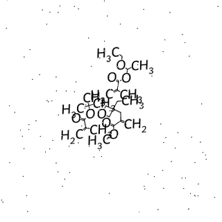 C=C(C)C(=O)OC(C)(C)C.C=C(C)C(=O)OC(C)OCC.C=C(CC1(CC)COC1)C(=O)OC